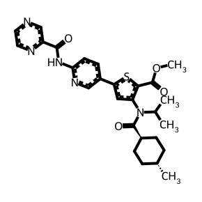 COC(=O)c1sc(-c2ccc(NC(=O)c3cnccn3)nc2)cc1N(C(=O)[C@H]1CC[C@H](C)CC1)C(C)C